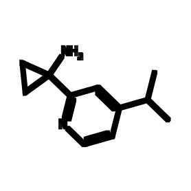 CC(C)c1ccnc(C2(N)CC2)c1